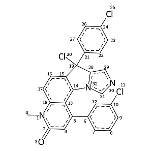 Cn1c(=O)cc(-c2cccc(Cl)c2)c2c3c(ccc21)C(Cl)(c1ccc(Cl)cc1)c1cncn1-3